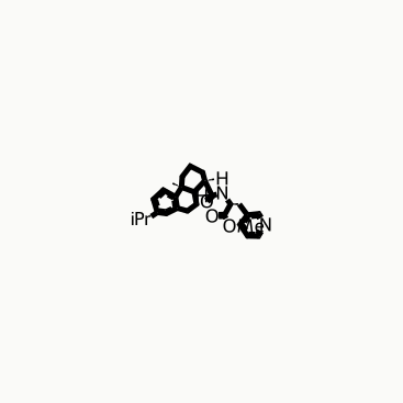 COC(=O)[C@@H](Cc1cccnc1)NC(=O)[C@]1(C)CCC[C@]2(C)c3ccc(C(C)C)cc3CC[C@@H]12